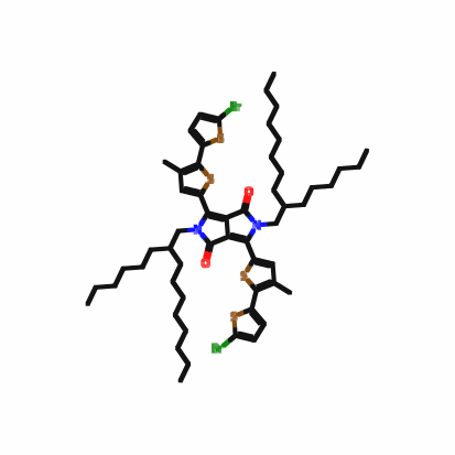 CCCCCCCCC(CCCCCC)CN1C(=O)C2=C(c3cc(C)c(-c4ccc(Br)s4)s3)N(CC(CCCCCC)CCCCCCCC)C(=O)C2=C1c1cc(C)c(-c2ccc(Br)s2)s1